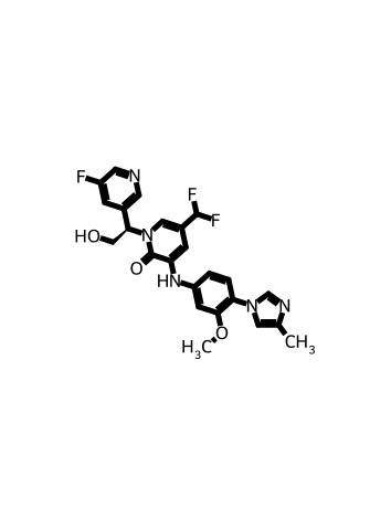 COc1cc(Nc2cc(C(F)F)cn([C@@H](CO)c3cncc(F)c3)c2=O)ccc1-n1cnc(C)c1